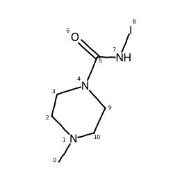 CN1CCN(C(=O)NI)CC1